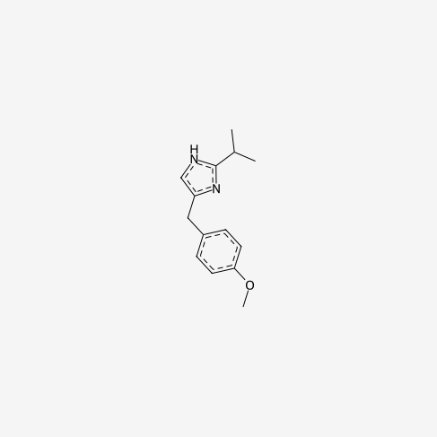 COc1ccc(Cc2c[nH]c(C(C)C)n2)cc1